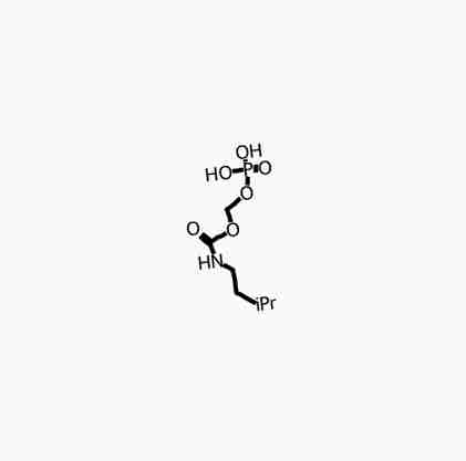 CC(C)CCNC(=O)OCOP(=O)(O)O